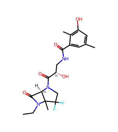 CCN1C(=O)[C@H]2N(C(=O)[C@@H](O)CNC(=O)c3cc(C)cc(O)c3C)CC(F)(F)C21C